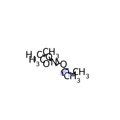 C\C=C/C=C(\C=C/C)OC1CN(C(=O)OC(C)(C)C)C1